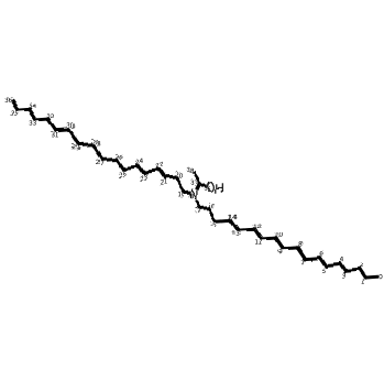 CCCCCCCCCCCCCCCCCCN(CCCCCCCCCCCCCCCCCC)C(C)O